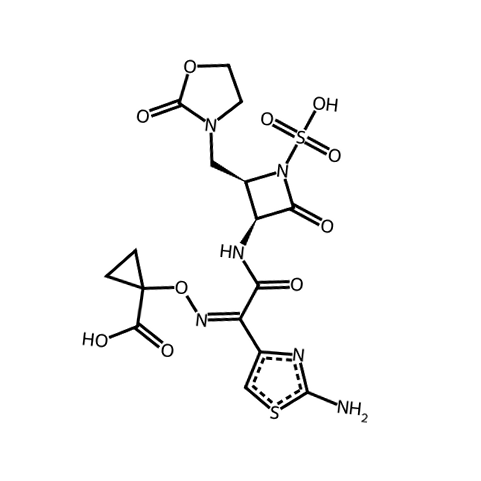 Nc1nc(/C(=N/OC2(C(=O)O)CC2)C(=O)N[C@@H]2C(=O)N(S(=O)(=O)O)[C@@H]2CN2CCOC2=O)cs1